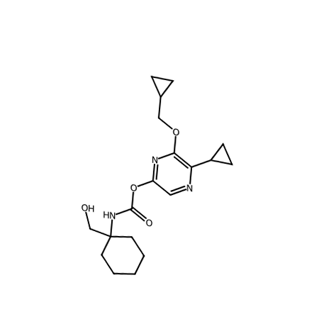 O=C(NC1(CO)CCCCC1)Oc1cnc(C2CC2)c(OCC2CC2)n1